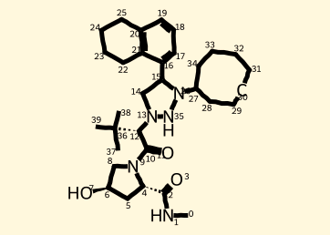 CNC(=O)[C@@H]1C[C@@H](O)CN1C(=O)[C@@H](N1CC(c2cccc3c2CCCC3)N(C2CCCCCCC2)N1)C(C)(C)C